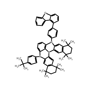 CC(C)(C)c1ccc(N2c3cc4c(cc3B3c5cc6c(cc5N(c5ccc(-c7cccc8oc9ccccc9c78)cc5)c5cccc2c53)C(C)(C)CCC6(C)C)C(C)(C)CCC4(C)C)cc1